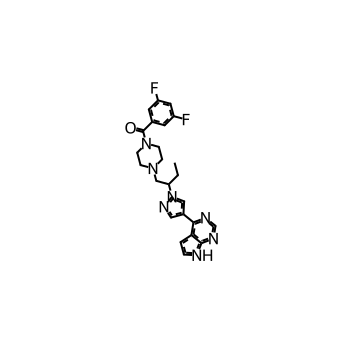 CCC(CN1CCN(C(=O)c2cc(F)cc(F)c2)CC1)n1cc(-c2ncnc3[nH]ccc23)cn1